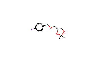 CC1(C)OCC(COCc2ccc(I)cc2)O1